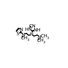 CN(C)CCN(CCN(C)c1nccs1)C(=N)NC#N